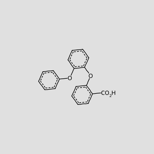 O=C(O)c1ccccc1Oc1ccccc1Oc1ccccc1